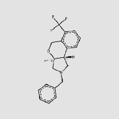 C[C@@]12CN(Cc3ccccc3)C[C@H]1c1cccc(C(F)(F)F)c1CO2